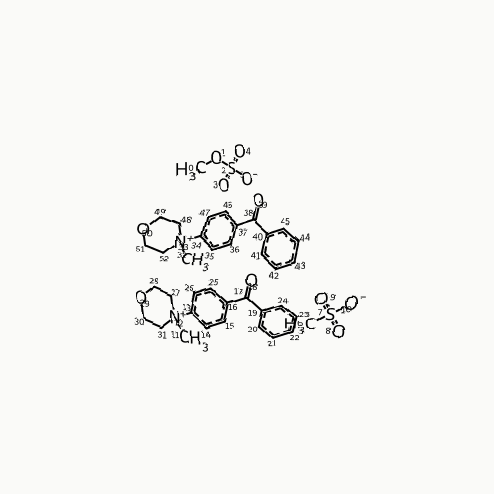 COS(=O)(=O)[O-].CS(=O)(=O)[O-].C[N+]1(c2ccc(C(=O)c3ccccc3)cc2)CCOCC1.C[N+]1(c2ccc(C(=O)c3ccccc3)cc2)CCOCC1